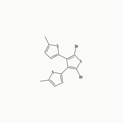 Cc1ccc(-c2c(Br)sc(Br)c2-c2ccc(C)s2)s1